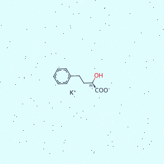 O=C([O-])[C@H](O)CCc1ccccc1.[K+]